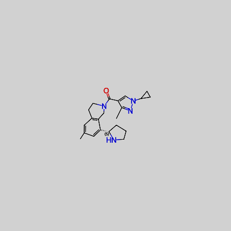 Cc1cc2c(c([C@@H]3CCCN3)c1)CN(C(=O)c1cn(C3CC3)nc1C)CC2